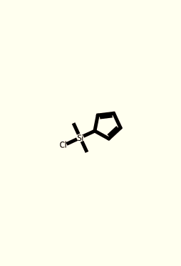 C[Si](C)(Cl)C1C=CC=C1